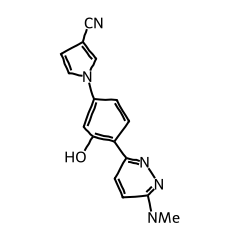 CNc1ccc(-c2ccc(-n3ccc(C#N)c3)cc2O)nn1